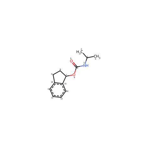 CC(C)NC(=O)OC1CCc2ccccc21